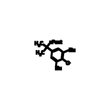 CCCCCC(C)(C)c1cc(C(C)CC)c([O])c(C(C)CC)c1